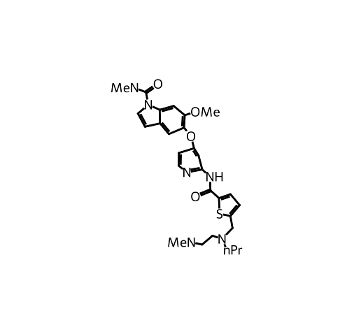 CCCN(CCNC)Cc1ccc(C(=O)Nc2cc(Oc3cc4ccn(C(=O)NC)c4cc3OC)ccn2)s1